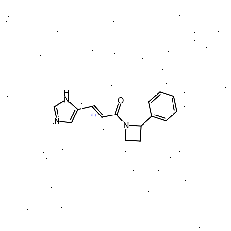 O=C(/C=C/c1cnc[nH]1)N1CCC1c1ccccc1